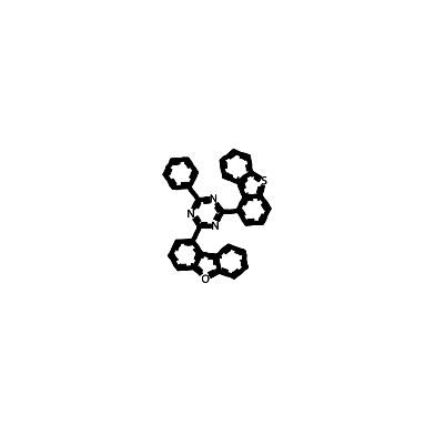 c1ccc(-c2nc(-c3cccc4oc5ccccc5c34)nc(-c3cccc4sc5ccccc5c34)n2)cc1